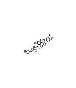 O=C(N[C@H]1CCOc2c(C(=O)Nc3ccc(F)c(F)c3)ccc(F)c21)OCC1CCNC1